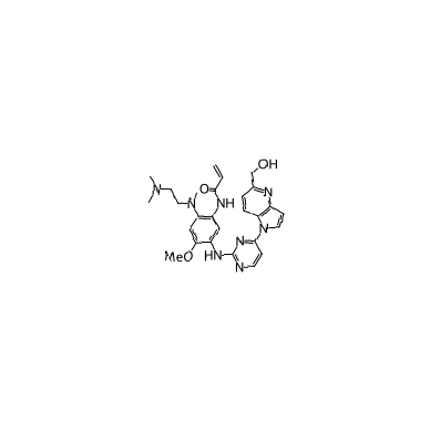 C=CC(=O)Nc1cc(Nc2nccc(-n3ccc4nc(CO)ccc43)n2)c(OC)cc1N(C)CCN(C)C